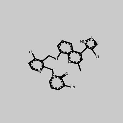 Cc1cc(-c2[nH]ncc2Cl)c2cccc(OCc3c(Cl)ccnc3Cn3cccc(C#N)c3=O)c2n1